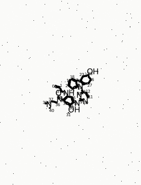 C=CC(=O)Nc1cc(Nc2nccc(-n3c4c(c5ccccc53)CC(O)CC4)n2)c(OC)cc1N(C)CCN(C)C